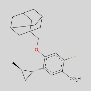 C[C@@H]1C[C@H]1c1cc(C(=O)O)c(F)cc1OCC12CC3CC(CC(C3)C1)C2